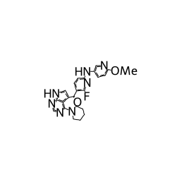 COc1ccc(Nc2ccc(C(=O)c3c[nH]c4ncnc(N5CCCCC5)c34)c(F)n2)cn1